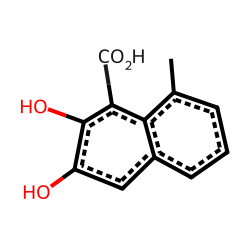 Cc1cccc2cc(O)c(O)c(C(=O)O)c12